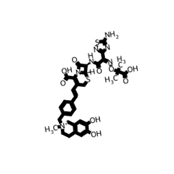 CC(C)(O/N=C(\C(=O)N[C@@H]1C(=O)N2C(C(=O)O)=C(/C=C/c3ccc(C[N+]4(C)CCc5cc(O)c(O)cc5C4)cc3)CS[C@H]12)c1nsc(N)n1)C(=O)O